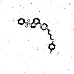 O=S(=O)(c1ccccc1)n1ccc2c(N3CCN(CCCCOc4ccc(F)cc4)CC3)cccc21